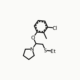 CCSCC(Oc1cccc(Cl)c1C)N1CCCC1